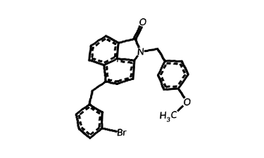 COc1ccc(CN2C(=O)c3cccc4c(Cc5cccc(Br)c5)ccc2c34)cc1